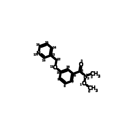 CON(C)C(=O)c1cccc(OCc2cccnc2)c1